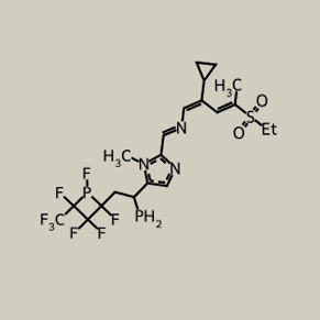 CCS(=O)(=O)/C(C)=C/C(=C\N=C\c1ncc(C(P)CC2(F)P(F)C(F)(C(F)(F)F)C2(F)F)n1C)C1CC1